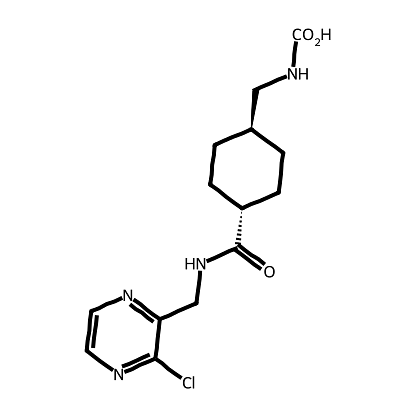 O=C(O)NC[C@H]1CC[C@H](C(=O)NCc2nccnc2Cl)CC1